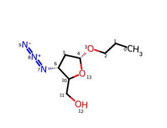 CCCO[C@H]1C[C@@H](N=[N+]=[N-])C(CO)O1